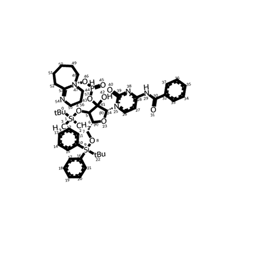 CC(C)(C)[Si](C)(C)OC1[C@@H](CO[Si](c2ccccc2)(c2ccccc2)C(C)(C)C)O[C@@H](n2ccc(NC(=O)c3ccccc3)nc2=O)C1(O)O[PH](=O)O[N+]12CCCCCC1=NCCC2